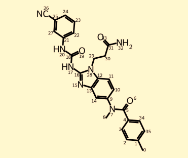 Cc1ccc(C(=O)N(C)c2ccc3c(c2)nc(NC(=O)Nc2cccc(C#N)c2)n3CCC(N)=O)cc1